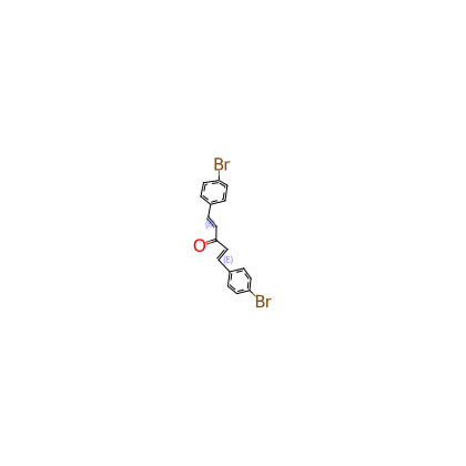 O=C(/C=C/c1ccc(Br)cc1)/C=C/c1ccc(Br)cc1